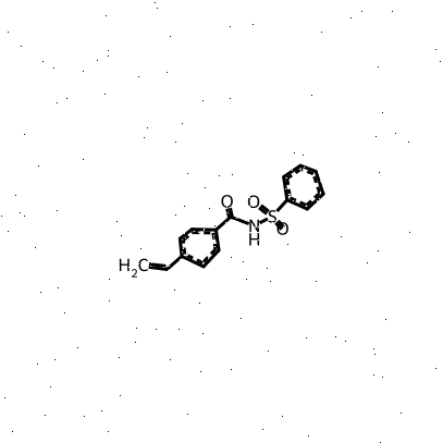 C=Cc1ccc(C(=O)NS(=O)(=O)c2ccccc2)cc1